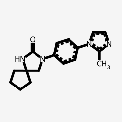 Cc1nccn1-c1ccc(N2CC3(CCCC3)NC2=O)cc1